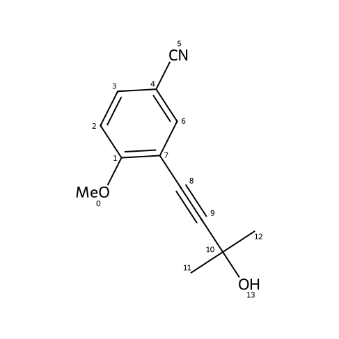 COc1ccc(C#N)cc1C#CC(C)(C)O